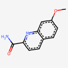 COc1ccc2ccc(C(N)=O)nc2c1